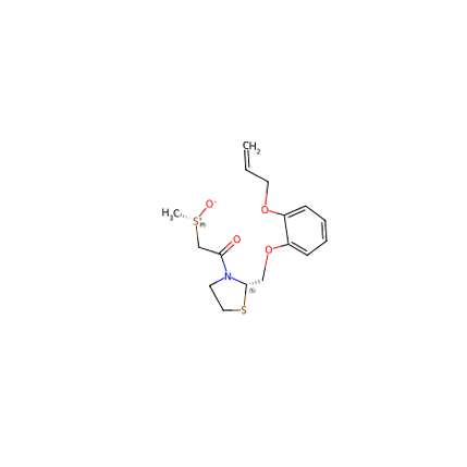 C=CCOc1ccccc1OC[C@@H]1SCCN1C(=O)C[S@+](C)[O-]